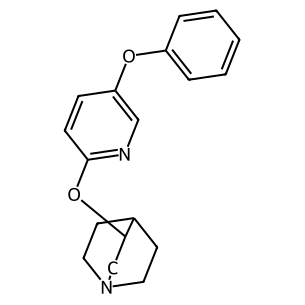 c1ccc(Oc2ccc(OC3CN4CCC3CC4)nc2)cc1